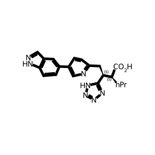 CCC[C@H](C(=O)O)[C@H](Cc1ccc(-c2ccc3[nH]ncc3c2)cn1)c1nnn[nH]1